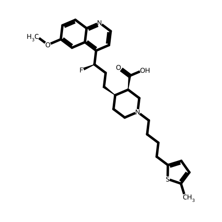 COc1ccc2nccc([C@H](F)CC[C@@H]3CCN(CCCCc4ccc(C)s4)C[C@@H]3C(=O)O)c2c1